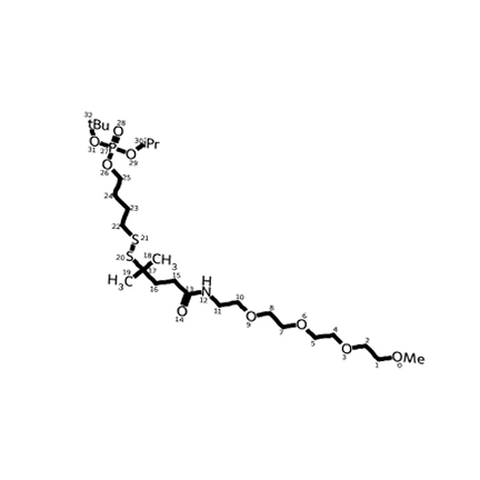 COCCOCCOCCOCCNC(=O)CCC(C)(C)SSCCCCOP(=O)(OC(C)C)OC(C)(C)C